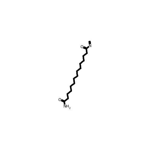 C=NC(=O)CCCCCCCCCCCCCC(N)=O